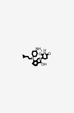 N[C@H]1CC[C@H](N(CCC2CC2)c2cccc3c2CN(C2CCC(=O)NC2=O)C3O)CC1